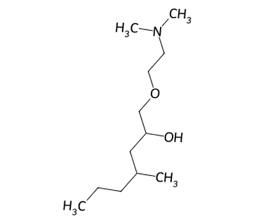 CCCC(C)CC(O)COCCN(C)C